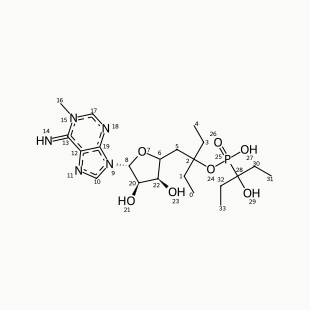 CCC(CC)(CC1O[C@@H](n2cnc3c(=N)n(C)cnc32)[C@H](O)[C@@H]1O)OP(=O)(O)C(O)(CC)CC